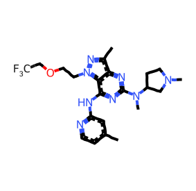 Cc1ccnc(Nc2nc(N(C)C3CCN(C)C3)nc3c(C)nn(CCOCC(F)(F)F)c23)c1